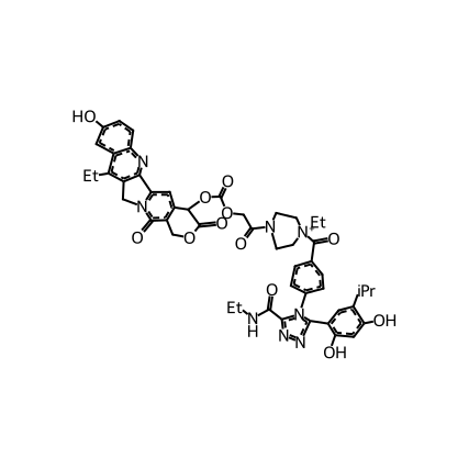 CCNC(=O)c1nnc(-c2cc(C(C)C)c(O)cc2O)n1-c1ccc(C(=O)[N+]2(CC)CCN(C(=O)COC(=O)OC3C(=O)OCc4c3cc3n(c4=O)Cc4c-3nc3ccc(O)cc3c4CC)CC2)cc1